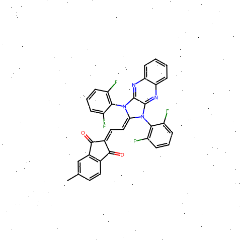 Cc1ccc2c(c1)C(=O)/C(=C/C=C1N(c3c(F)cccc3F)c3nc4ccccc4nc3N1c1c(F)cccc1F)C2=O